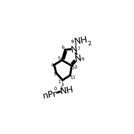 CCCN[C@@H]1CCc2cn(N)nc2C1